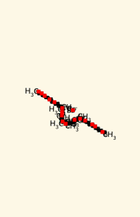 CCCCCCCCCCCCCCCC[N+](C)(C)CCOC(=O)NCC(C)CCC(C)(C)CNC(=O)OCC[N+](C)(C)CCCCCCCCCCCCCCCC.[Br-].[Br-]